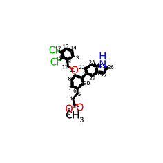 COC(=O)CCc1ccc(OCc2cccc(Cl)c2Cl)c(-c2ccc3[nH]ccc3c2)c1